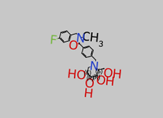 CN(Cc1ccc(F)cc1)C(=O)c1ccc(CN2C[C@H](O)[C@@H](O)[C@H](O)[C@@H]2CO)cc1